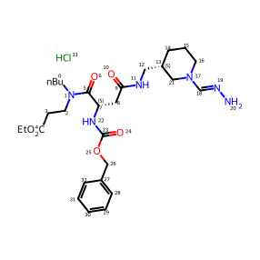 CCCCN(CCC(=O)OCC)C(=O)[C@H](CC(=O)NC[C@@H]1CCCN(C=NN)C1)NC(=O)OCc1ccccc1.Cl